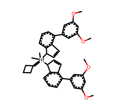 COc1cc(OC)cc(-c2cccc3c2C=C[CH]3[Hf]([CH3])([CH3])(=[C]2CCC2)[CH]2C=Cc3c(-c4cc(OC)cc(OC)c4)cccc32)c1